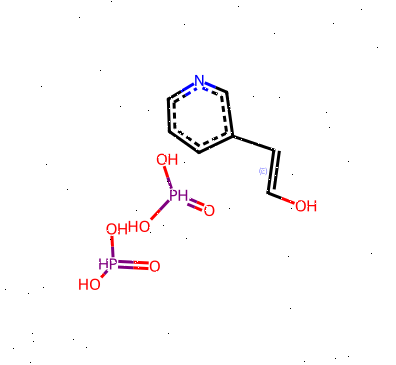 O/C=C/c1cccnc1.O=[PH](O)O.O=[PH](O)O